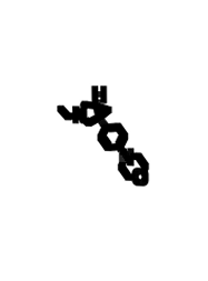 CCN1C[C@@H]2C[C@]2(c2ccc(N3CCOCC3)cc2)C1